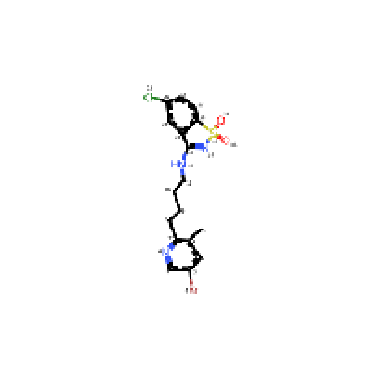 Cc1cc(Br)cnc1CCCCNC1=NS(=O)(=O)c2ccc(Cl)cc21